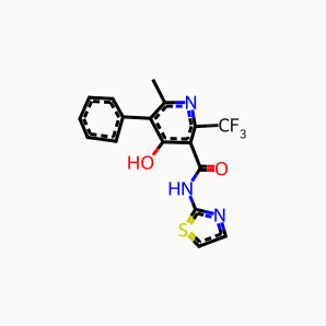 Cc1nc(C(F)(F)F)c(C(=O)Nc2nccs2)c(O)c1-c1ccccc1